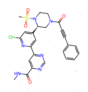 CNC(=O)c1cc(-c2cc([C@@H]3CN(C(=O)C#Cc4ccccc4)CCN3S(C)(=O)=O)cc(Cl)n2)ncn1